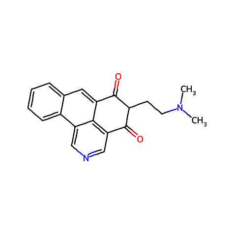 CN(C)CCC1C(=O)c2cncc3c2c(cc2ccccc23)C1=O